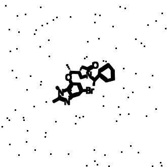 Cc1nc2cc(Br)cc(O[C@H](C)[C@@H]3CC(=O)N([C@H](C)c4ccccc4)C3)c2n1C